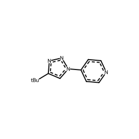 CC(C)(C)c1cn(-c2ccncc2)nn1